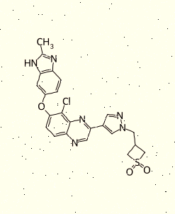 Cc1nc2ccc(Oc3ccc4ncc(-c5cnn(CC6CS(=O)(=O)C6)c5)nc4c3Cl)cc2[nH]1